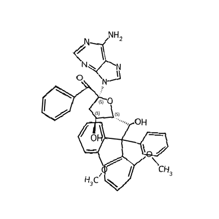 COc1ccccc1C(c1ccccc1)(c1ccccc1OC)C(O)[C@H]1O[C@@](C(=O)c2ccccc2)(n2cnc3c(N)ncnc32)C[C@@H]1O